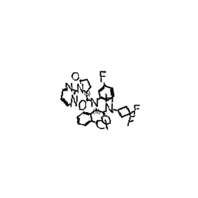 O=C(NC1CC(F)(F)C1)[C@H](c1ccccc1Cl)N(C(=O)[C@@H]1CCC(=O)N1c1ncccn1)c1cccc(F)c1